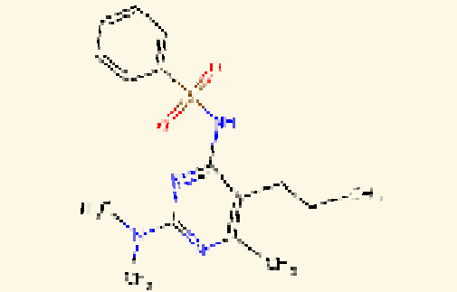 CCCc1c(C)nc(N(C)C)nc1NS(=O)(=O)c1ccccc1